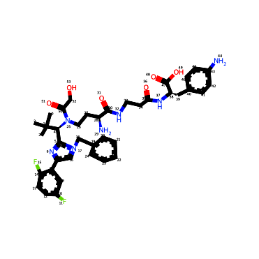 CC(C)(C)[C@H](c1nc(-c2cc(F)ccc2F)cn1Cc1ccccc1)N(CC[C@H](N)C(=O)NCCC(=O)N[C@@H](Cc1ccc(N)cc1)C(=O)O)C(=O)CO